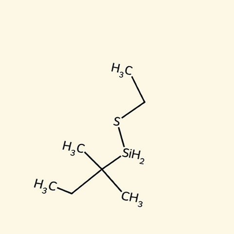 CCS[SiH2]C(C)(C)CC